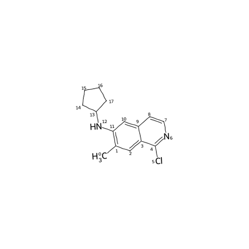 Cc1cc2c(Cl)nccc2cc1NC1CCCC1